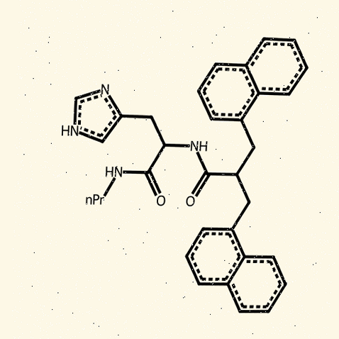 CCCNC(=O)C(Cc1c[nH]cn1)NC(=O)C(Cc1cccc2ccccc12)Cc1cccc2ccccc12